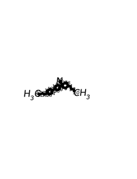 CCCCCC1CCC(C#N)(c2ccc(-c3ccc(CCCC)cc3)cc2)CC1